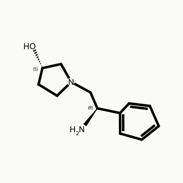 N[C@@H](CN1CC[C@H](O)C1)c1ccccc1